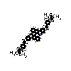 C=C(C)C(=O)Nc1ccc(C(=O)Oc2ccc(/C=C\c3ccc4ccccc4c3-c3c(/C=C\c4ccc(OC(=O)c5ccc(NC(=O)C(=C)C)cc5)cc4)ccc4ccccc34)cc2)cc1